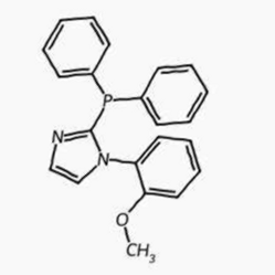 COc1ccccc1-n1ccnc1P(c1ccccc1)c1ccccc1